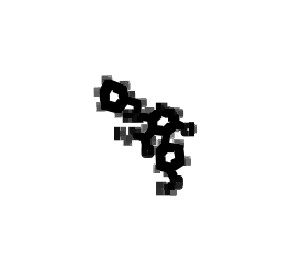 CCOc1ccc(-c2c(Cl)nnc(NCc3ccccc3)c2C(N)=O)cc1